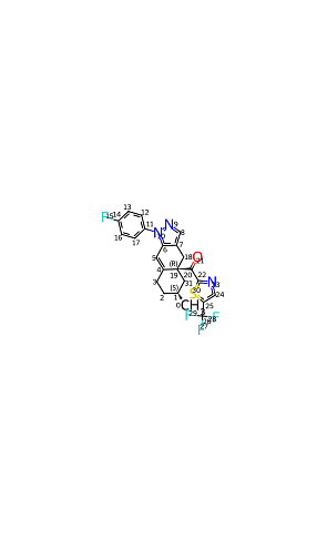 C[C@H]1CCC2=Cc3c(cnn3-c3ccc(F)cc3)C[C@]2(C(=O)c2ncc(C(F)(F)F)s2)C1